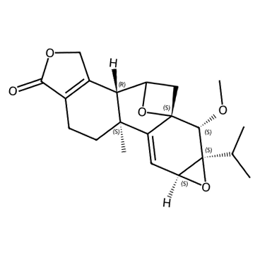 CO[C@@H]1[C@@]2(C(C)C)O[C@H]2C=C2[C@@]13CC(O3)[C@H]1C3=C(CC[C@]21C)C(=O)OC3